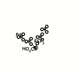 Cc1c(C(=O)O)noc1-c1ccc(C(F)(F)F)c(F)c1.[Pd].c1ccc(P(c2ccccc2)c2ccccc2)cc1.c1ccc(P(c2ccccc2)c2ccccc2)cc1.c1ccc(P(c2ccccc2)c2ccccc2)cc1.c1ccc(P(c2ccccc2)c2ccccc2)cc1